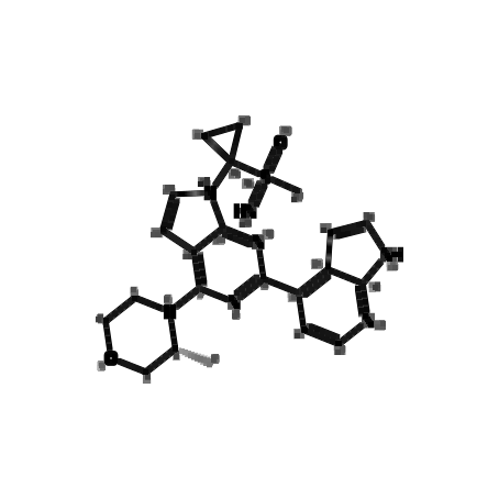 C[C@@H]1COCCN1c1nc(-c2ccnc3[nH]ccc23)nc2c1ccn2C1(S(C)(=N)=O)CC1